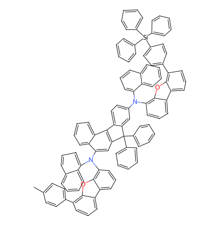 Cc1ccc(-c2cccc3c2oc2c(N(c4cccc5ccccc45)c4cc5c(c6ccccc46)-c4ccc(N(c6cccc7ccccc67)c6cccc7c6oc6c(-c8ccc([Si](c9ccccc9)(c9ccccc9)c9ccccc9)cc8)cccc67)cc4C5(c4ccccc4)c4ccccc4)cccc23)cc1